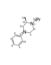 CC(C)N1CCN(c2ccccc2)C[C@H]1C